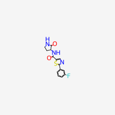 O=C(N[C@H]1CCNC1=O)c1cnc(-c2cccc(F)c2)s1